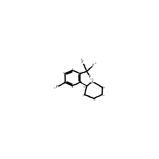 Fc1ccc(C(F)(F)F)c(C2CCCCS2)c1